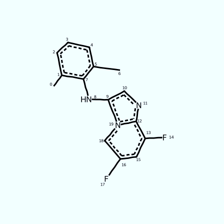 Cc1cccc(C)c1Nc1cnc2c(F)cc(F)cn12